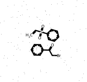 C=CS(=O)(=O)c1ccccc1.O=C(CBr)c1ccccc1